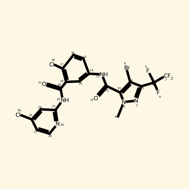 Cn1nc(C(F)(F)C(F)(F)F)c(Br)c1C(=O)Nc1ccc(Cl)c(C(=O)Nc2cc(Cl)ccn2)c1